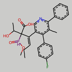 CCC=C(c1cnc(-c2ccccc2)c(C)c1-c1ccc(F)cc1)C(C(=O)O)(C(C)O)[PH](=O)OC